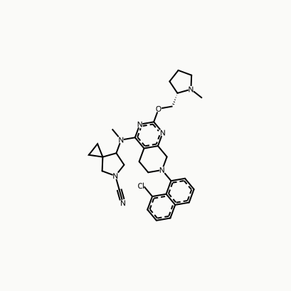 CN(c1nc(OC[C@@H]2CCCN2C)nc2c1CCN(c1cccc3cccc(Cl)c13)C2)C1CN(C#N)CC12CC2